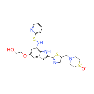 [O-][S+]1CCN(CC2CN=C(c3cc4cc(OCCO)cc(NSc5ccccn5)c4[nH]3)S2)CC1